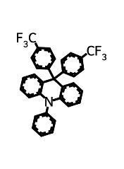 FC(F)(F)c1ccc(C2(c3ccc(C(F)(F)F)cc3)c3ccccc3N(c3ccccc3)c3ccccc32)cc1